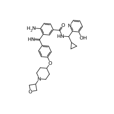 N=C(c1ccc(OC2CCN(C3COC3)CC2)cc1)c1cc(C(=O)NC(c2ncccc2O)C2CC2)ccc1N